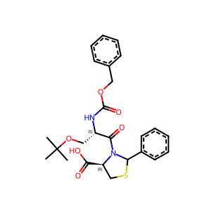 CC(C)(C)OC[C@H](NC(=O)OCc1ccccc1)C(=O)N1C(c2ccccc2)SC[C@H]1C(=O)O